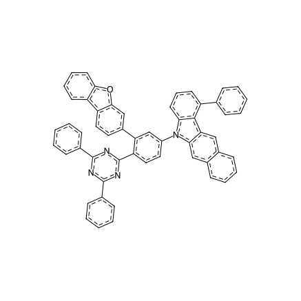 c1ccc(-c2nc(-c3ccccc3)nc(-c3ccc(-n4c5cc6ccccc6cc5c5c(-c6ccccc6)cccc54)cc3-c3ccc4c(c3)oc3ccccc34)n2)cc1